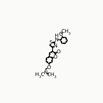 COc1ccccc1Nc1nc(-c2cc3ccc(OCN(C)C)cc3oc2=O)cs1